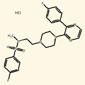 CN(CCN1CCN(c2nccnc2-c2ccc(F)cc2)CC1)S(=O)(=O)c1ccc(F)cc1.Cl